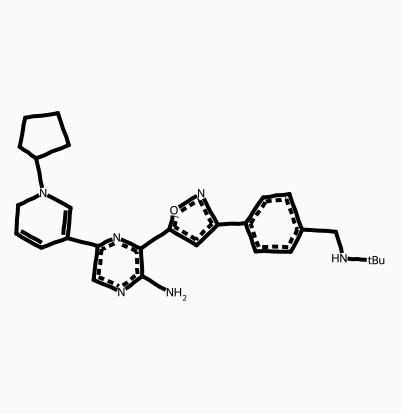 CC(C)(C)NCc1ccc(-c2cc(-c3nc(C4=CN(C5CCCC5)CC=C4)cnc3N)on2)cc1